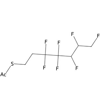 CC(=O)SCCC(F)(F)C(F)(F)C(F)C(F)CF